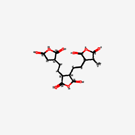 CCCC1C(=O)OC(=O)C1CCC1C(=O)OC(=O)C1CCC1CC(=O)OC1=O